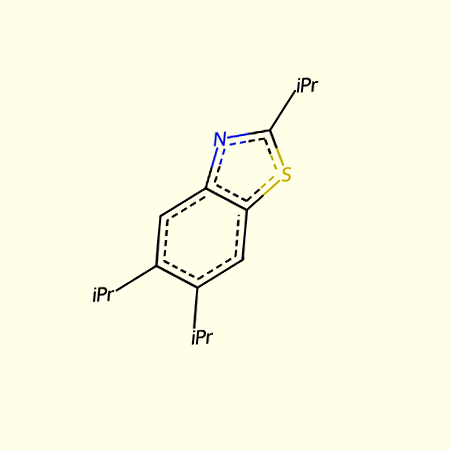 CC(C)c1nc2cc(C(C)C)c(C(C)C)cc2s1